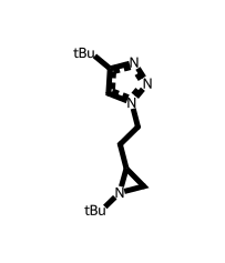 CC(C)(C)c1cn(CCC2CN2C(C)(C)C)nn1